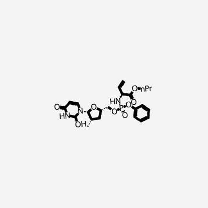 C=C[C@H](N[P@](=O)(OC[C@@H]1C[C@H](C)[C@H](N2C=CC(=O)NC2O)O1)Oc1ccccc1)C(=O)OCCC